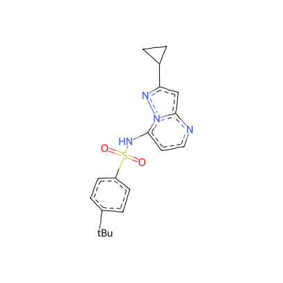 CC(C)(C)c1ccc(S(=O)(=O)Nc2ccnc3cc(C4CC4)nn23)cc1